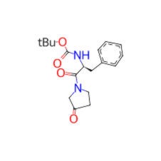 CC(C)(C)OC(=O)N[C@@H](Cc1ccccc1)C(=O)N1CCC(=O)C1